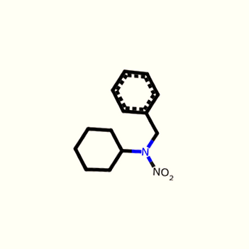 O=[N+]([O-])N(Cc1ccccc1)C1CCCCC1